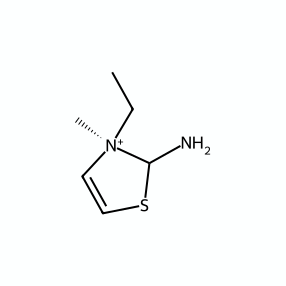 CC[N@+]1(C)C=CSC1N